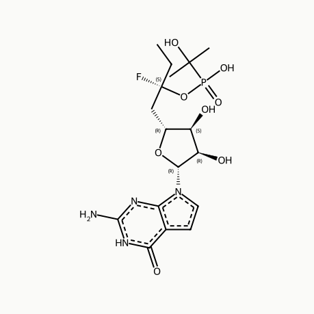 CC[C@](F)(C[C@H]1O[C@@H](n2ccc3c(=O)[nH]c(N)nc32)[C@H](O)[C@@H]1O)OP(=O)(O)C(C)(C)O